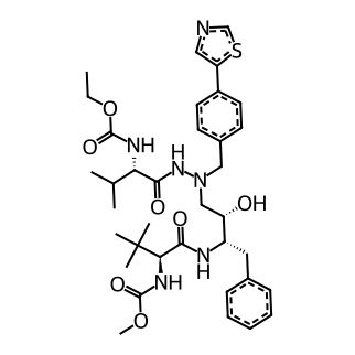 CCOC(=O)N[C@H](C(=O)NN(Cc1ccc(-c2cncs2)cc1)C[C@H](O)[C@H](Cc1ccccc1)NC(=O)[C@@H](NC(=O)OC)C(C)(C)C)C(C)C